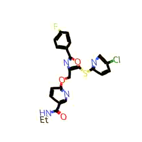 CCNC(=O)c1ccc(OCc2nc(-c3ccc(F)cc3)oc2Sc2ccc(Cl)cn2)nc1